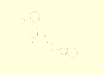 CC1C[C@@H]2C[C@@](C)(c3ccccc3N)CN2C(=O)[C@@H](NC(=O)c2cc3cc(C(F)(F)F)ccc3[nH]2)C1